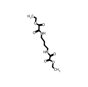 CCOC(=O)C(=O)NCCCCNC(=O)C(=O)OCC